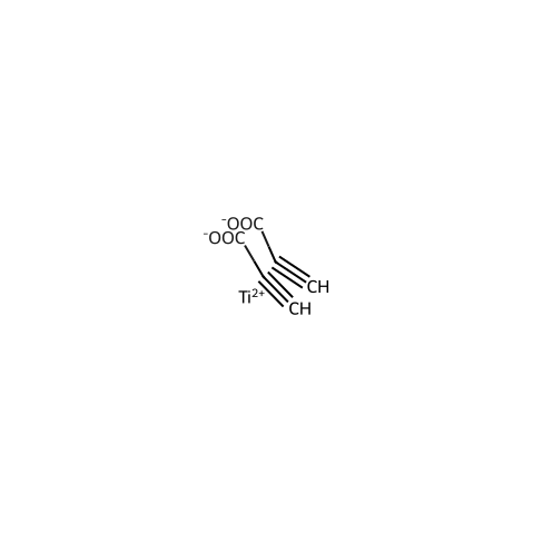 C#CC(=O)[O-].C#CC(=O)[O-].[Ti+2]